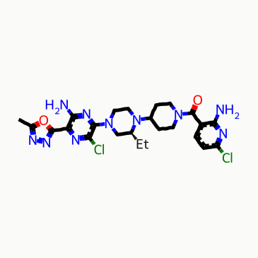 CC[C@H]1CN(c2nc(N)c(-c3nnc(C)o3)nc2Cl)CCN1C1CCN(C(=O)c2ccc(Cl)nc2N)CC1